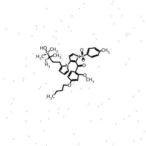 CCCCOc1ccc(C(=O)c2c(-n3cccc3CCC(C)(C)[Si](C)(C)O)ccn2S(=O)(=O)c2ccc(C)cc2)c(OC)c1